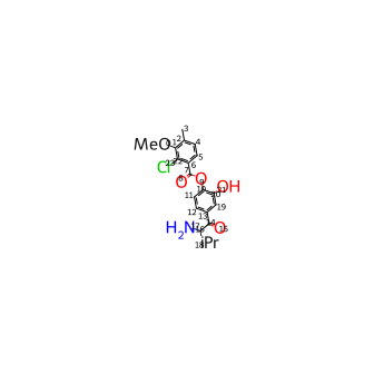 COc1c(C)ccc(C(=O)Oc2ccc(C(=O)C(N)C(C)C)cc2O)c1Cl